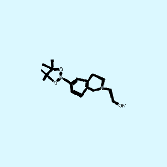 CC1(C)OB(c2ccc3c(c2)CCN(CCO)C3)OC1(C)C